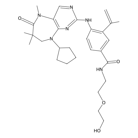 C=C(C)c1cc(C(=O)NCCOCCO)ccc1Nc1ncc2c(n1)N(C1CCCC1)CC(C)(C)C(=O)N2C